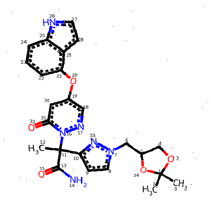 CC1(C)OCC(Cn2ccc(C(C)(C(N)=O)n3ncc(Oc4cccc5[nH]ccc45)cc3=O)n2)O1